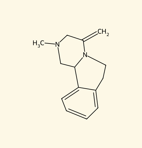 C=C1CN(C)CC2c3ccccc3CCN12